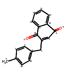 Cc1ccc(CC2=CC(=O)c3ccccc3C2=O)cc1